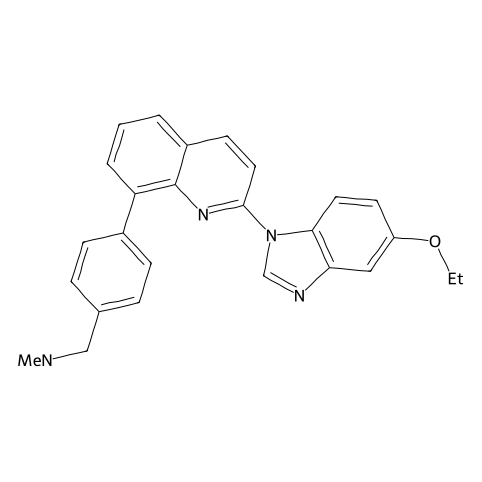 CCOc1ccc2c(c1)ncn2-c1ccc2cccc(-c3ccc(CNC)cc3)c2n1